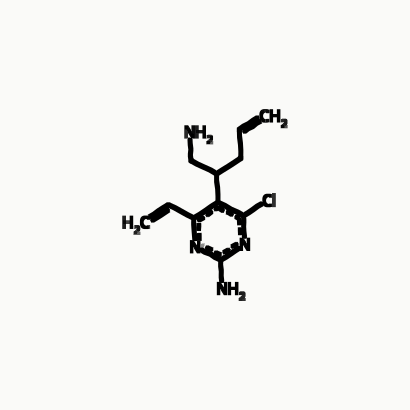 C=CCC(CN)c1c(Cl)nc(N)nc1C=C